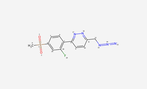 CS(=O)(=O)c1ccc(-c2ccc(CN=[N+]=[N-])nn2)c(F)c1